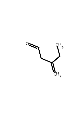 C=C(CC)C[C]=O